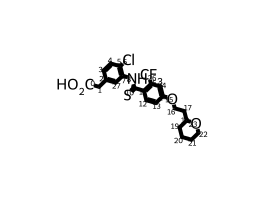 O=C(O)Cc1ccc(Cl)c(NC(=S)c2ccc(OCCC3CCCCO3)cc2C(F)(F)F)c1